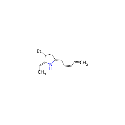 C=C/C=C\C=C1\CC(CC)/C(=C/C)N1